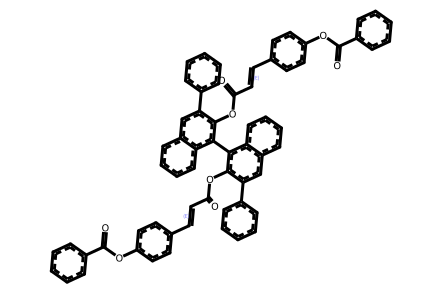 O=C(/C=C/c1ccc(OC(=O)c2ccccc2)cc1)Oc1c(-c2ccccc2)cc2ccccc2c1-c1c(OC(=O)/C=C/c2ccc(OC(=O)c3ccccc3)cc2)c(-c2ccccc2)cc2ccccc12